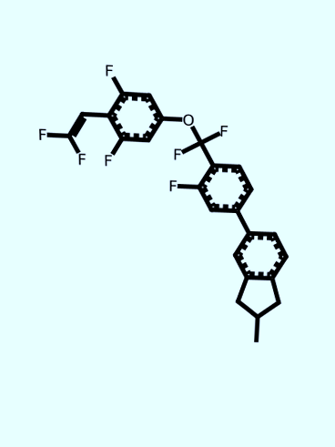 CC1Cc2ccc(-c3ccc(C(F)(F)Oc4cc(F)c(C=C(F)F)c(F)c4)c(F)c3)cc2C1